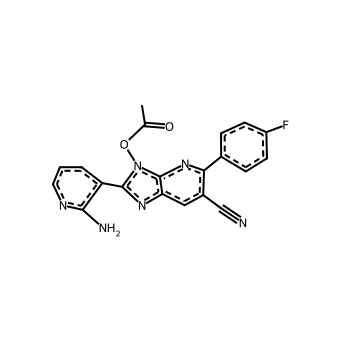 CC(=O)On1c(-c2cccnc2N)nc2cc(C#N)c(-c3ccc(F)cc3)nc21